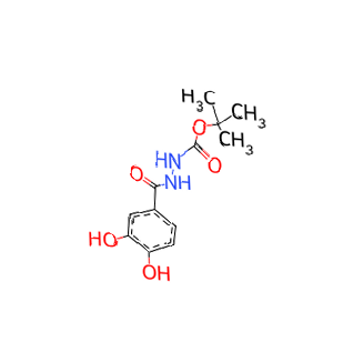 CC(C)(C)OC(=O)NNC(=O)c1ccc(O)c(O)c1